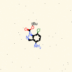 CC(C)(C)OC(=O)n1ncc2c(N)ccc(Cl)c21